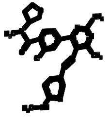 CNc1ccc(C#Cc2c(C)nc(N)nc2-c2ccc(C(=O)N(C)C3CCOC3)c(Cl)c2)cn1